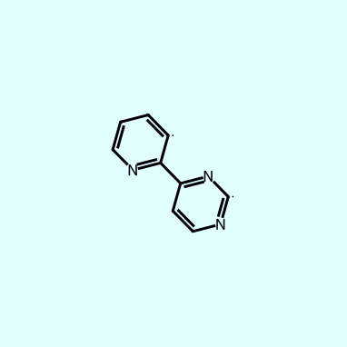 [c]1nccc(-c2[c]cccn2)n1